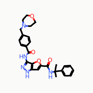 CC(C)(NC(=O)c1cc2[nH]nc(NC(=O)c3ccc(CN4CCOCC4)cc3)c2o1)c1ccccc1